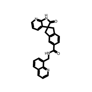 O=C(NCc1cccc2cccnc12)c1ccc2c(c1)CC1(C2)C(=O)Nc2ncccc21